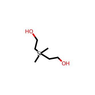 C[Si](C)(CCO)CCO